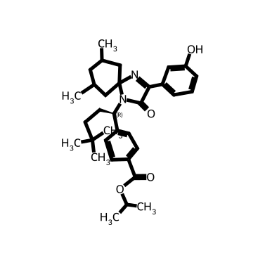 CC1CC(C)CC2(C1)N=C(c1cccc(O)c1)C(=O)N2[C@H](CCC(C)(C)C)c1ccc(C(=O)OC(C)C)cc1